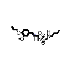 C=CCOc1ccc(/C=C/C(=O)NS(=O)(=O)CNCCCC)cc1OC